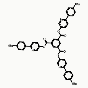 CC(C)(C)c1ccc(-c2ccc(OC(=O)c3cc(C(=O)Oc4ccc(-c5ccc(C(C)(C)C)cc5)nc4)cc(C(=O)Oc4ccc(-c5ccc(C(C)(C)C)cc5)nc4)c3)cn2)cc1